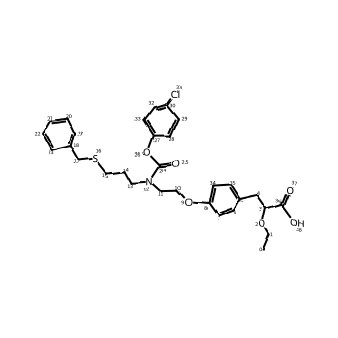 CCOC(Cc1ccc(OCCN(CCCSCc2ccccc2)C(=O)Oc2ccc(Cl)cc2)cc1)C(=O)O